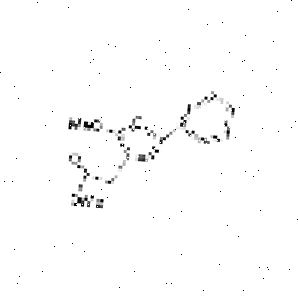 COC(=O)Cc1cc(-c2ccccc2)oc1OC